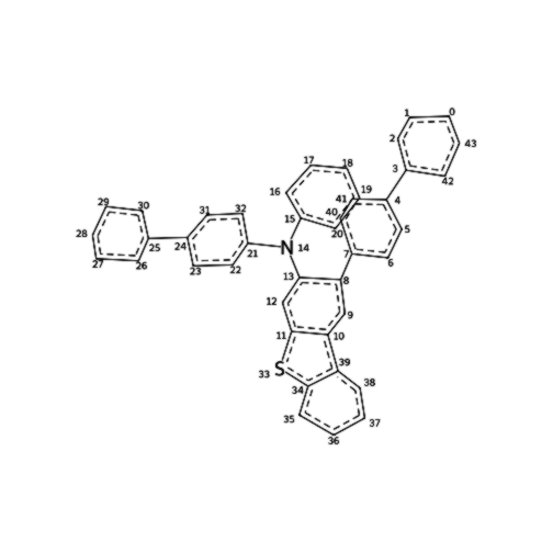 c1ccc(-c2ccc(-c3cc4c(cc3N(c3ccccc3)c3ccc(-c5ccccc5)cc3)sc3ccccc34)cc2)cc1